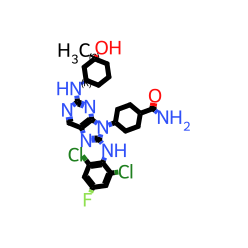 C[C@]1(O)CCC[C@@H](Nc2ncc3nc(Nc4c(Cl)cc(F)cc4Cl)n(C4CCC(C(N)=O)CC4)c3n2)C1